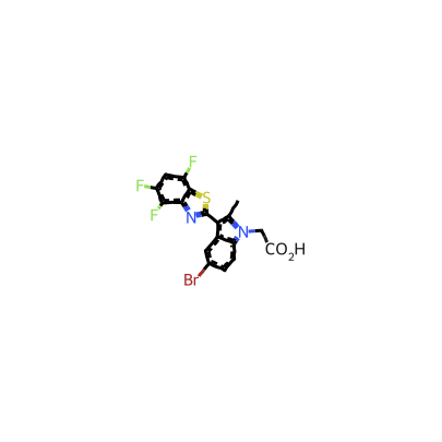 Cc1c(-c2nc3c(F)c(F)cc(F)c3s2)c2cc(Br)ccc2n1CC(=O)O